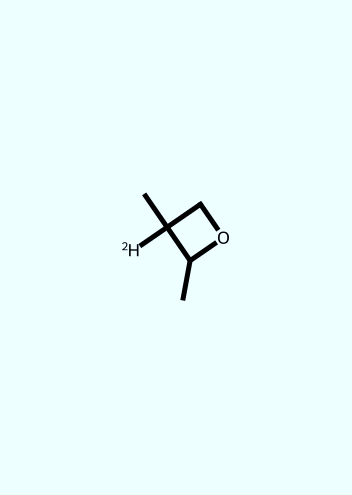 [2H]C1(C)COC1C